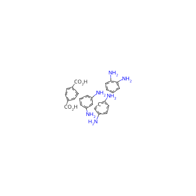 Nc1ccc(N)cc1.Nc1cccc(N)c1.Nc1ccccc1N.O=C(O)c1ccc(C(=O)O)cc1